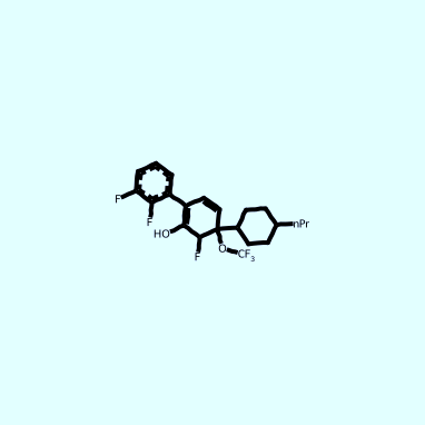 CCCC1CCC(C2(OC(F)(F)F)C=CC(c3cccc(F)c3F)=C(O)C2F)CC1